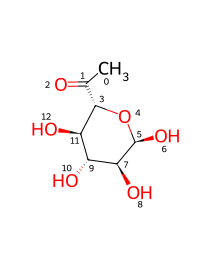 CC(=O)[C@@H]1O[C@@H](O)[C@@H](O)[C@H](O)[C@H]1O